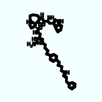 NCN/C(=C\NCCCCc1ccc(CCCCN/C=C/Cc2ccccc2)cc1)CNC(=O)[C@@H]1CC[C@@H]2CCCC[C@H](NC(=O)[C@@H](N)Cc3c[nH]c4ccccc34)C(=O)N21